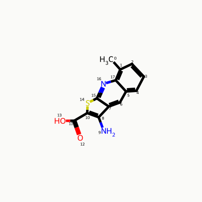 Cc1cccc2cc3c(N)c(C(=O)O)sc3nc12